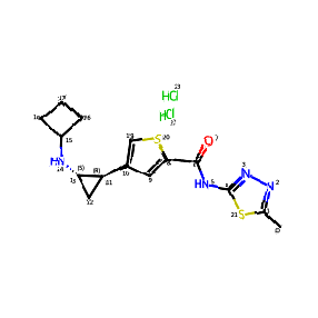 Cc1nnc(NC(=O)c2cc([C@H]3C[C@@H]3NC3CCC3)cs2)s1.Cl.Cl